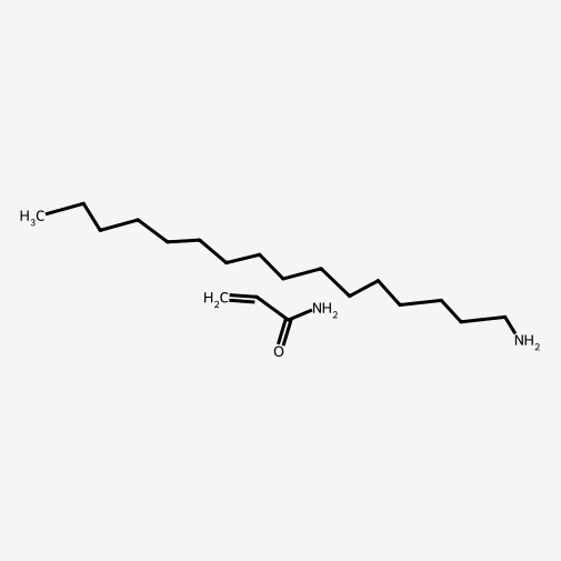 C=CC(N)=O.CCCCCCCCCCCCCCCCN